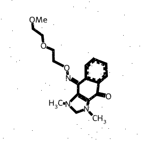 COCCOCCON=C1C2=C(C(=O)c3ccccc31)N(C)CN2C